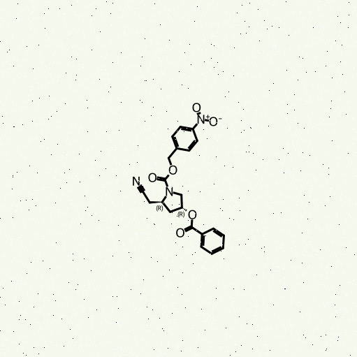 N#CC[C@@H]1C[C@@H](OC(=O)c2ccccc2)CN1C(=O)OCc1ccc([N+](=O)[O-])cc1